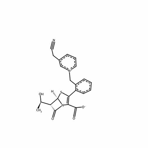 C[C@@H](O)[C@H]1C(=O)N2C(C(=O)[O-])=C(c3ccccc3C[n+]3cccc(CC#N)c3)S[C@H]12